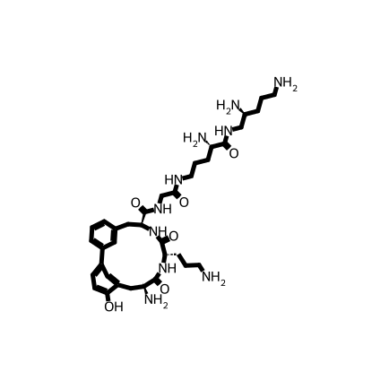 NCCC[C@H](N)CNC(=O)[C@@H](N)CCCNC(=O)CNC(=O)[C@@H]1Cc2cccc(c2)-c2ccc(O)c(c2)C[C@H](N)C(=O)N[C@@H](CCCN)C(=O)N1